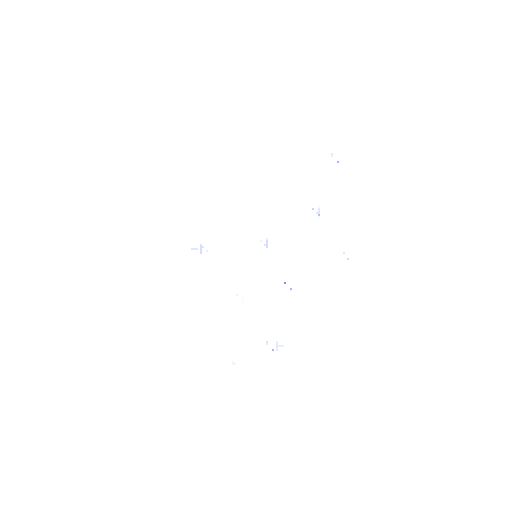 CC(C)Nc1nc(Nc2cc(F)cc(F)c2)nc(-c2nccc(N)n2)n1